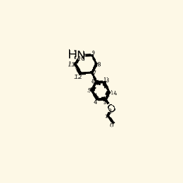 CCOc1ccc(C2[CH]CNCC2)cc1